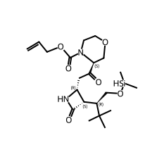 C=CCOC(=O)N1CCOC[C@H]1C(=O)C[C@H]1NC(=O)[C@H]1[C@@H](CO[SiH](C)C)C(C)(C)C